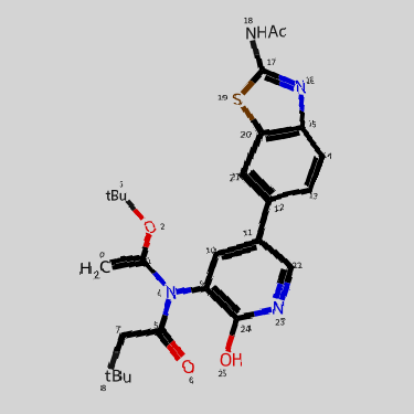 C=C(OC(C)(C)C)N(C(=O)CC(C)(C)C)c1cc(-c2ccc3nc(NC(C)=O)sc3c2)cnc1O